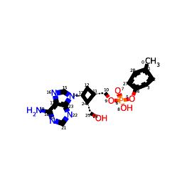 Cc1ccc(OP(=O)(O)OC[C@H]2C[C@@H](n3cnc4c(N)ncnc43)[C@H]2CO)cc1